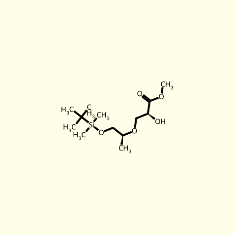 COC(=O)[C@@H](O)CO[C@@H](C)CO[Si](C)(C)C(C)(C)C